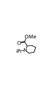 COC(=O)C1CCCCN1C(C)C